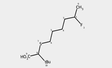 CC(F)CCCCSC(C(=O)O)C(C)(C)C